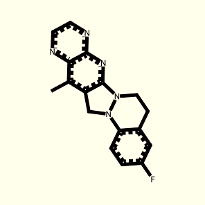 Cc1c2c(nc3nccnc13)N1CCc3cc(F)ccc3N1C2